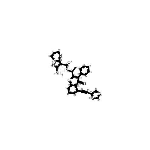 CC(NC(=O)c1c(N)nn2cccnc12)c1oc2cccc(C#Cc3cncs3)c2c(=O)c1-c1ccccc1